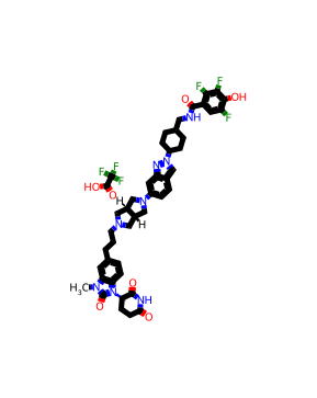 Cn1c(=O)n([C@@H]2CCC(=O)NC2=O)c2ccc(CCCN3C[C@H]4CN(c5ccc6cn(C7CCC(CNC(=O)c8cc(F)c(O)c(F)c8F)CC7)nc6c5)C[C@@H]4C3)cc21.O=C(O)C(F)(F)F